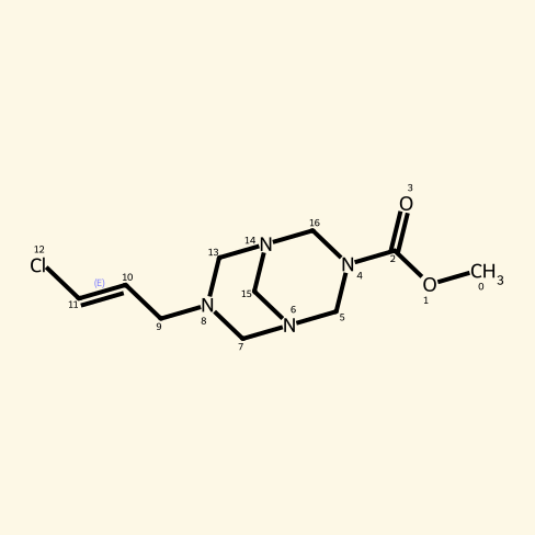 COC(=O)N1CN2CN(C/C=C/Cl)CN(C2)C1